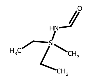 CC[Si](C)(CC)NC=O